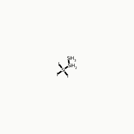 [SiH3][SiH2][Si](I)(I)I